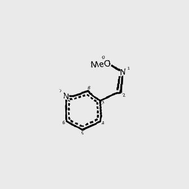 CO/N=C\c1cccnc1